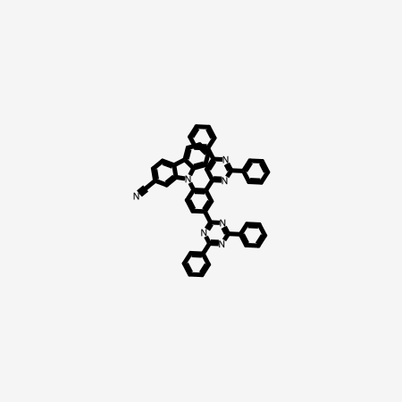 N#Cc1ccc2c3ccccc3n(-c3ccc(-c4nc(-c5ccccc5)nc(-c5ccccc5)n4)cc3-c3cc(-c4ccccc4)nc(-c4ccccc4)n3)c2c1